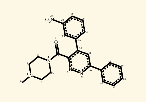 CN1CCN(C(=O)c2nnc(-c3ccccc3)cc2-c2cccc([N+](=O)[O-])c2)CC1